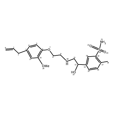 C=CCc1ccc(OCCNCC(O)c2ccc(C)c(S(N)(=O)=O)c2)c(OC)c1